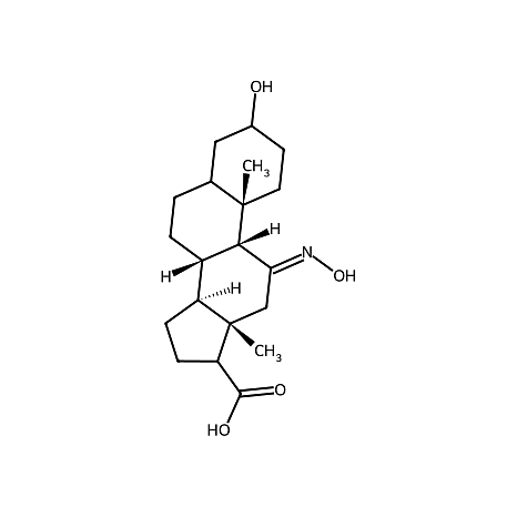 C[C@]12CCC(O)CC1CC[C@@H]1[C@H]2C(=NO)C[C@]2(C)C(C(=O)O)CC[C@@H]12